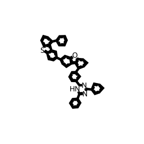 c1ccc(C2=NC(c3cccc(-c4cccc5oc6cc(-c7ccc8sc9cccc(-c%10ccccc%10)c9c8c7)ccc6c45)c3)NC(c3ccccc3)=N2)cc1